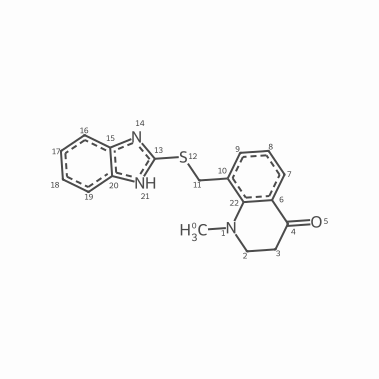 CN1CCC(=O)c2cccc(CSc3nc4ccccc4[nH]3)c21